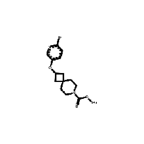 CC(C)(C)OC(=O)N1CCC2(CC1)CC(Oc1ccc(Br)nc1)C2